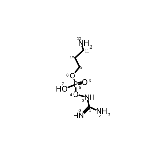 N=C(N)NOP(=O)(O)OCCCN